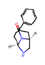 O=C1C[C@H]2CN[C@@H](C1)N2Cc1ccccc1